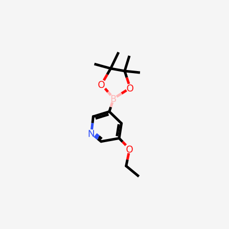 CCOc1cncc(B2OC(C)(C)C(C)(C)O2)c1